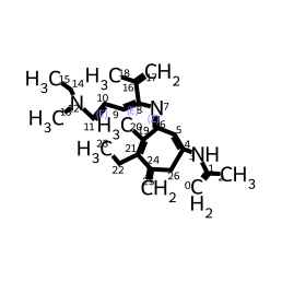 C=C(C)NC1=C/C(=N/C(=C/C=C/N(C)CC)C(=C)C)C(C)=C(CC)C(=C)C1